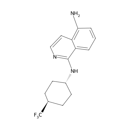 Nc1cccc2c(N[C@H]3CC[C@H](C(F)(F)F)CC3)nccc12